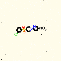 O=[N+]([O-])c1ccc(N2CCC(S(=O)(=O)c3cccc(Cl)c3)CC2)nc1